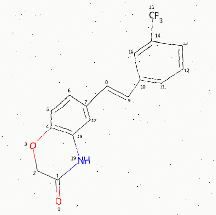 O=C1COc2ccc(C=Cc3cccc(C(F)(F)F)c3)cc2N1